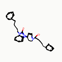 O=C(CCCc1ccccc1)N1CCC(n2c(=O)n(CCCCc3ccccc3)c3ccccc32)CC1